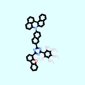 Bc1c(B)c(B)c(-c2nc(-c3ccc4cc(N5c6ccc7ccccc7c6-c6cccc7cccc5c67)ccc4c3)nc(-c3cccc4c3oc3ccccc34)n2)c(B)c1B